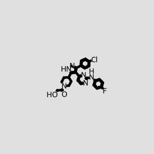 O=C(CO)N1CCC(c2[nH]nc(-c3ccc(Cl)cc3)c2-c2ccnc(Nc3ccc(F)cc3)n2)CC1